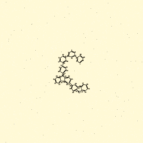 c1ccc(-c2cccc(-c3cccc(-c4ccc(-n5c6ccccc6c6cc(-c7ccc8oc9ccccc9c8c7)ccc65)cc4)c3)c2)cc1